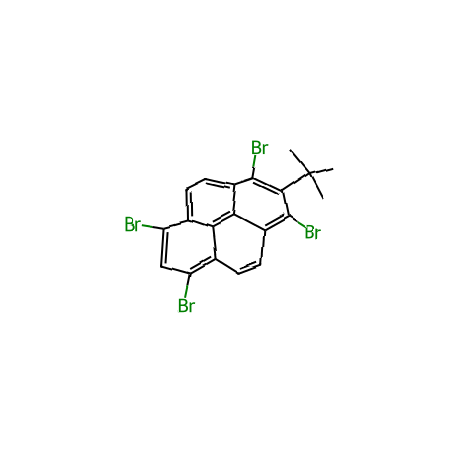 CC(C)(C)c1c(Br)c2ccc3c(Br)cc(Br)c4ccc(c1Br)c2c34